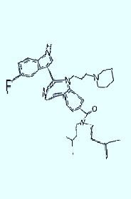 CC(C)CCN(CCC(C)C)C(=O)c1ccc2nc(-c3c[nH]c4ccc(F)cc34)n(CCCN3CCCCC3)c2c1